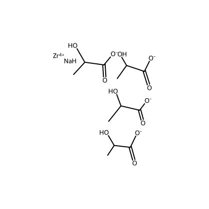 CC(O)C(=O)[O-].CC(O)C(=O)[O-].CC(O)C(=O)[O-].CC(O)C(=O)[O-].[NaH].[Zr+4]